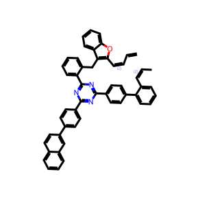 C=C/C=C\c1oc2ccccc2c1Cc1ccccc1-c1nc(-c2ccc(-c3ccc4ccccc4c3)cc2)nc(-c2ccc(-c3ccccc3/C=C\C)cc2)n1